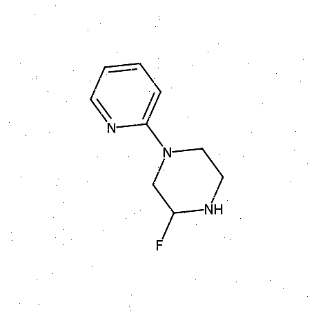 FC1CN(c2ccccn2)CCN1